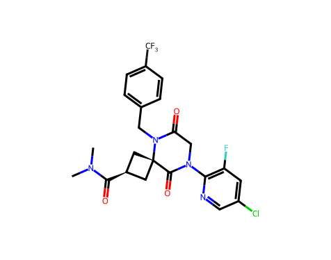 CN(C)C(=O)[C@H]1C[C@]2(C1)C(=O)N(c1ncc(Cl)cc1F)CC(=O)N2Cc1ccc(C(F)(F)F)cc1